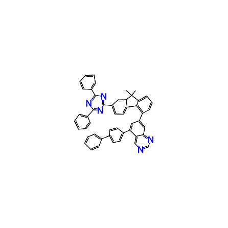 CC1(C)c2cc(-c3nc(-c4ccccc4)nc(-c4ccccc4)n3)ccc2-c2c(-c3cc(-c4ccc(-c5ccccc5)cc4)c4cncnc4c3)cccc21